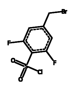 O=S(=O)(Cl)c1c(F)cc(CBr)cc1F